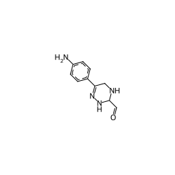 Nc1ccc(C2=NNC(C=O)NC2)cc1